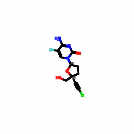 Nc1nc(=O)n([C@H]2CC[C@@](C#CCl)(CO)O2)cc1F